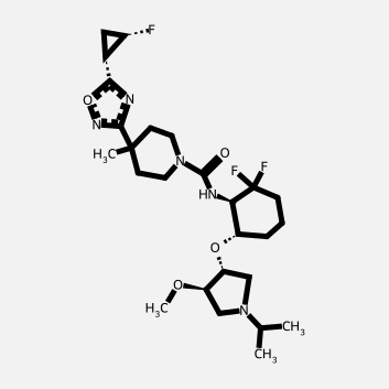 CO[C@@H]1CN(C(C)C)C[C@H]1O[C@H]1CCCC(F)(F)[C@@H]1NC(=O)N1CCC(C)(c2noc([C@@H]3C[C@@H]3F)n2)CC1